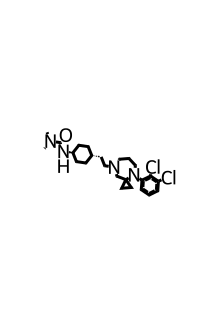 CN(C)C(=O)N[C@H]1CC[C@H](CCN2CCCN(c3cccc(Cl)c3Cl)C3(CC3)C2)CC1